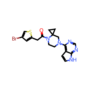 O=C(Cc1cc(Br)cs1)N1CCN(c2ncnc3[nH]ccc23)CC12CC2